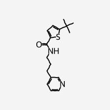 CC(C)(C)c1ccc(C(=O)NCCCc2cccnc2)s1